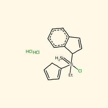 C[CH2][Ti](=[SiH2])([Cl])([C]1=CC=CC1)[CH]1C=Cc2ccccc21.Cl.Cl